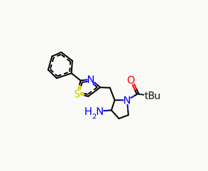 CC(C)(C)C(=O)N1CCC(N)C1Cc1csc(-c2ccccc2)n1